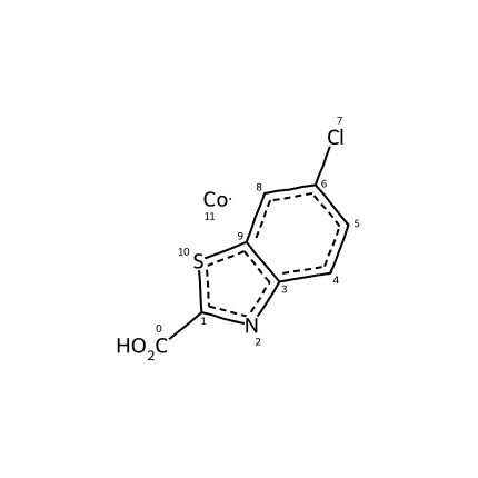 O=C(O)c1nc2ccc(Cl)cc2s1.[Co]